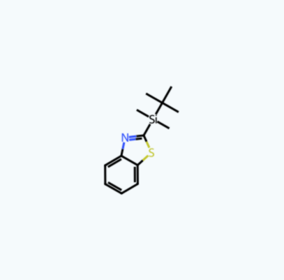 CC(C)(C)[Si](C)(C)c1nc2ccccc2s1